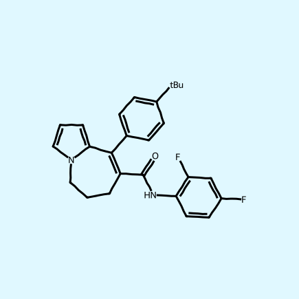 CC(C)(C)c1ccc(C2=C(C(=O)Nc3ccc(F)cc3F)CCCn3cccc32)cc1